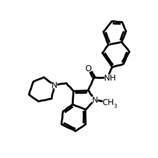 Cn1c(C(=O)Nc2ccc3ccccc3c2)c(CN2CCCCC2)c2ccccc21